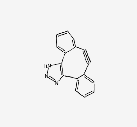 C1#Cc2ccccc2-c2[nH]nnc2-c2ccccc21